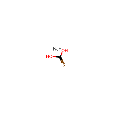 OC(O)=S.[NaH]